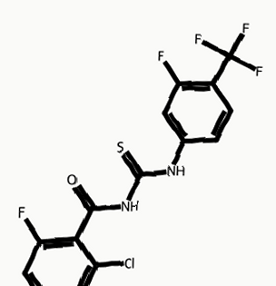 O=C(NC(=S)Nc1ccc(C(F)(F)F)c(F)c1)c1c(F)cccc1Cl